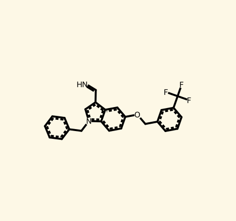 N=Cc1cn(Cc2ccccc2)c2ccc(OCc3cccc(C(F)(F)F)c3)cc12